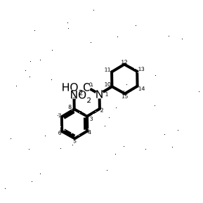 O=C(O)N(Cc1ccccc1[N+](=O)[O-])C1CCCCC1